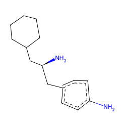 Nc1ccc(C[C@H](N)CC2CCCCC2)cc1